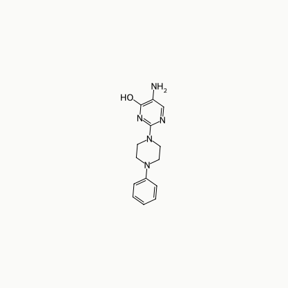 Nc1cnc(N2CCN(c3ccccc3)CC2)nc1O